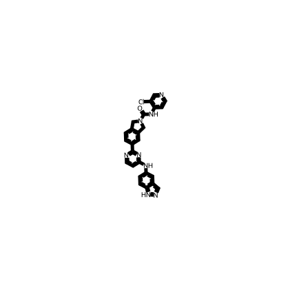 O=C(Nc1ccncc1Cl)N1Cc2ccc(-c3nccc(Nc4ccc5[nH]ncc5c4)n3)cc2C1